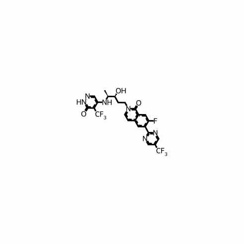 C[C@H](Nc1cn[nH]c(=O)c1C(F)(F)F)[C@@H](O)CCn1ccc2cc(-c3ncc(C(F)(F)F)cn3)c(F)cc2c1=O